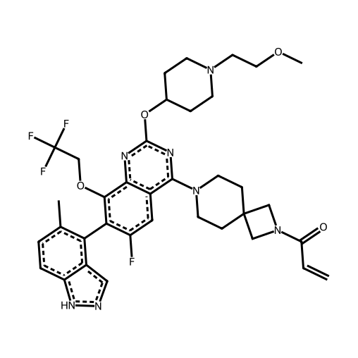 C=CC(=O)N1CC2(CCN(c3nc(OC4CCN(CCOC)CC4)nc4c(OCC(F)(F)F)c(-c5c(C)ccc6[nH]ncc56)c(F)cc34)CC2)C1